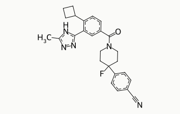 Cc1nnc(-c2cc(C(=O)N3CCC(F)(c4ccc(C#N)cc4)CC3)ccc2C2CCC2)[nH]1